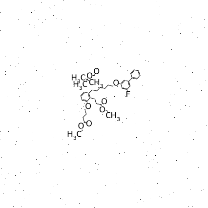 CC(C)(C)OC=O.CCOC(=O)CCCOc1cccc(CCCCCCOc2cc(F)cc(-c3ccccc3)c2)c1CCC(=O)OCC